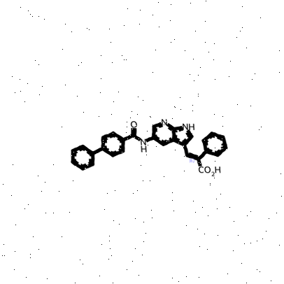 O=C(O)/C(=C/c1c[nH]c2ncc(NC(=O)c3ccc(-c4ccccc4)cc3)cc12)c1ccccc1